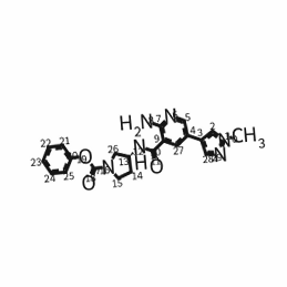 Cn1cc(-c2cnc(N)c(C(=O)N[C@@H]3CCN(C(=O)Oc4ccccc4)C3)c2)cn1